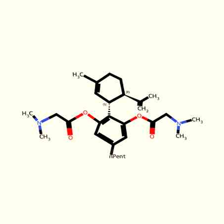 C=C(C)[C@@H]1CCC(C)=C[C@H]1c1c(OC(=O)CN(C)C)cc(CCCCC)cc1OC(=O)CN(C)C